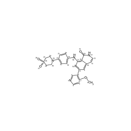 COc1ccncc1-c1cc2cc[nH]c(=O)c2c(Nc2ccc(N3CCS(=O)(=O)CC3)cc2)n1